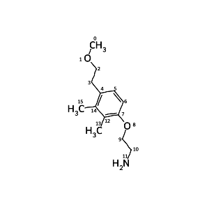 COCCc1ccc(OCCN)c(C)c1C